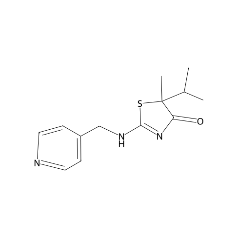 CC(C)C1(C)SC(NCc2ccncc2)=NC1=O